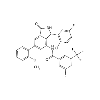 COc1ccccc1-c1cc(NC(=O)c2cc(F)cc(C(F)(F)F)c2)c2c(c1)C(=O)NC2c1cc(F)ccc1Cl